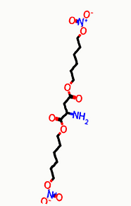 NC(CC(=O)OCCCCCCO[N+](=O)[O-])C(=O)OCCCCCCO[N+](=O)[O-]